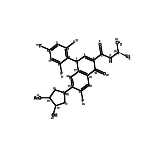 CC[C@H](NC(=O)c1cn(-c2c(F)cc(F)cc2F)c2nc(N3CC(O)C(OC(C)=O)C3)c(F)cc2c1=O)C(F)(F)F